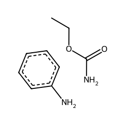 CCOC(N)=O.Nc1ccccc1